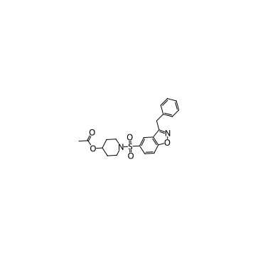 CC(=O)OC1CCN(S(=O)(=O)c2ccc3onc(Cc4ccccc4)c3c2)CC1